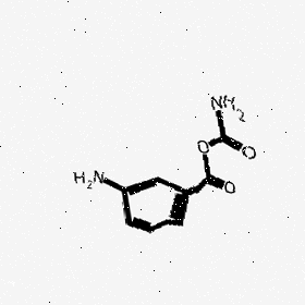 NC(=O)OC(=O)c1cccc(N)c1